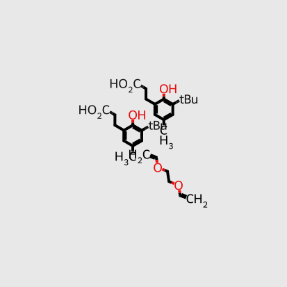 C=COCCOC=C.Cc1cc(CCC(=O)O)c(O)c(C(C)(C)C)c1.Cc1cc(CCC(=O)O)c(O)c(C(C)(C)C)c1